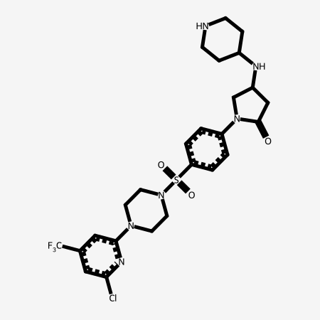 O=C1CC(NC2CCNCC2)CN1c1ccc(S(=O)(=O)N2CCN(c3cc(C(F)(F)F)cc(Cl)n3)CC2)cc1